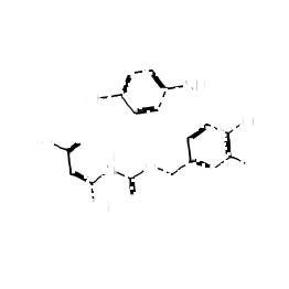 C/C(=C/C(=O)O)NC(=O)OCc1ccc(Cl)c(Cl)c1.Nc1ccc(Cl)cc1